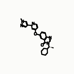 C[C@H](C1CCCCC1)n1cnc2ccc(Oc3ccnc(-c4cnn(C)c4)c3)cc2c1=O